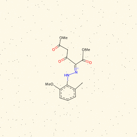 COC(=O)CC(=O)/C(=N\Nc1c(C)cccc1OC)C(=O)OC